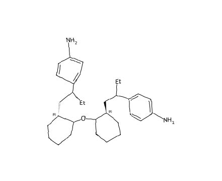 CCC(C[C@H]1CCCCC1OC1CCCC[C@@H]1CC(CC)c1ccc(N)cc1)c1ccc(N)cc1